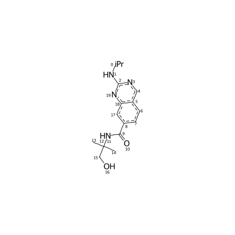 CC(C)Nc1ncc2ccc(C(=O)NC(C)(C)CO)cc2n1